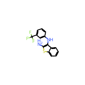 Nc1sc2ccccc2c1Nc1cccc(C(F)(F)F)c1